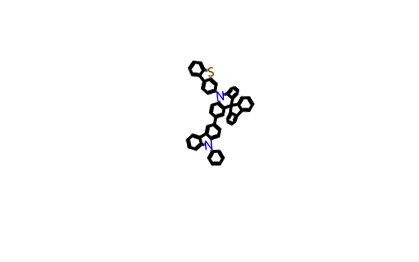 c1ccc(-n2c3ccccc3c3cc(-c4ccc5c(c4)C4(c6ccccc6-c6ccccc64)c4ccccc4N5c4ccc5c(c4)sc4ccccc45)ccc32)cc1